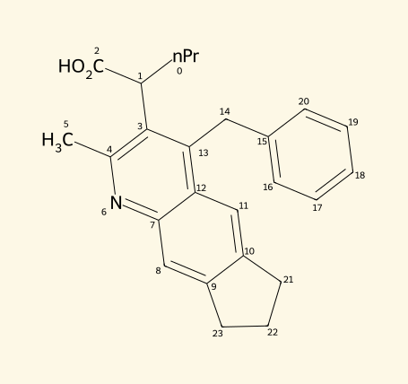 CCCC(C(=O)O)c1c(C)nc2cc3c(cc2c1Cc1ccccc1)CCC3